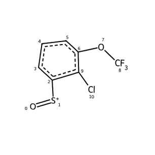 O=[S+]c1cccc(OC(F)(F)F)c1Cl